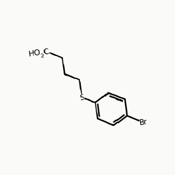 O=C(O)CCCSc1ccc(Br)cc1